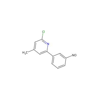 Cc1cc(Cl)nc(-c2cccc(N=O)c2)c1